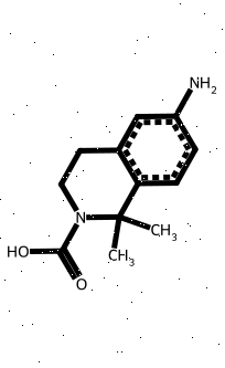 CC1(C)c2ccc(N)cc2CCN1C(=O)O